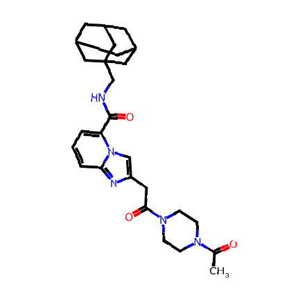 CC(=O)N1CCN(C(=O)Cc2cn3c(C(=O)NCC45CC6CC(CC(C6)C4)C5)cccc3n2)CC1